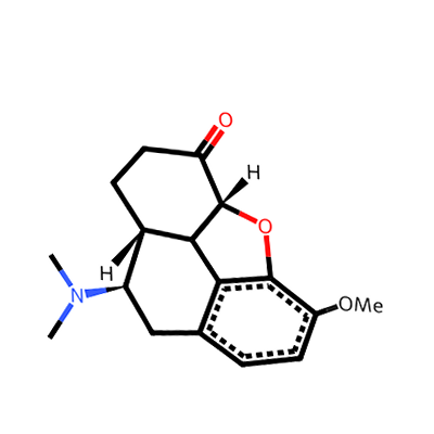 COc1ccc2c3c1O[C@H]1C(=O)CC[C@H](C31)[C@H](N(C)C)C2